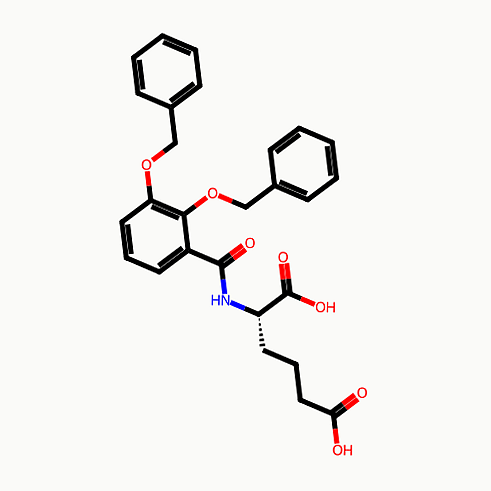 O=C(O)CCC[C@H](NC(=O)c1cccc(OCc2ccccc2)c1OCc1ccccc1)C(=O)O